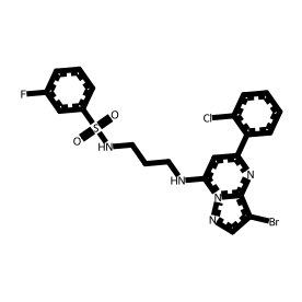 O=S(=O)(NCCCNc1cc(-c2ccccc2Cl)nc2c(Br)cnn12)c1cccc(F)c1